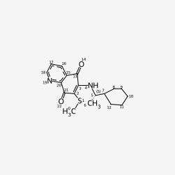 CSC1=C(N[C@@H](C)C2CCCCC2)C(=O)c2cccnc2C1=O